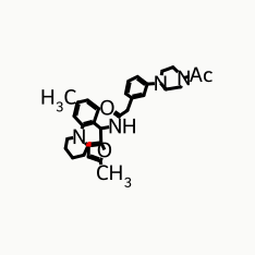 CC(=O)N1CCN(c2cccc(CC(=O)NC(c3ccc(C)o3)c3ccc(C)cc3N3CCCCC3)c2)CC1